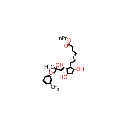 CCCOC(=O)CCC=C=CC[C@@H]1[C@@H](C=CC(C)(O)COc2cccc(C(F)(F)F)c2)[C@H](O)C[C@@H]1O